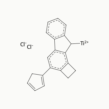 [Cl-].[Cl-].[Ti+2][CH]1c2ccccc2-c2cc(C3=CC=CC3)c3c(c21)CC3